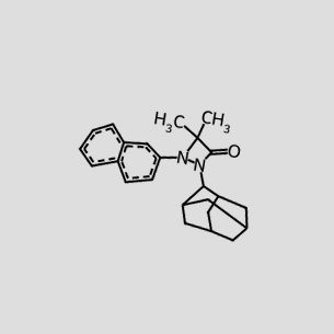 CC1(C)C(=O)N(C2C3CC4CC(C3)CC2C4)N1c1ccc2ccccc2c1